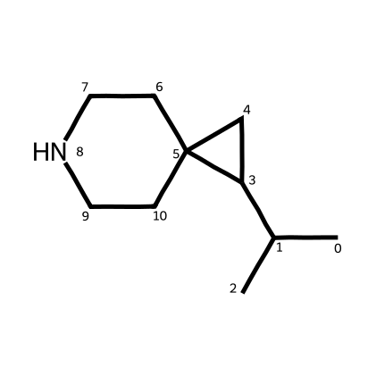 CC(C)C1CC12CCNCC2